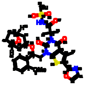 COc1ccccc1[C@H](Cn1c(=O)n(C(C)(C)C(=O)NS(=O)(=O)C(C)(C)C)c(=O)c2c(C)c(-c3ncco3)sc21)O[C@H]1C[C@H]2CC[C@@H](C1)O2